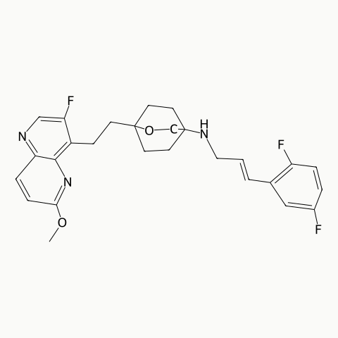 COc1ccc2ncc(F)c(CCC34CCC(NCC=Cc5cc(F)ccc5F)(CC3)CO4)c2n1